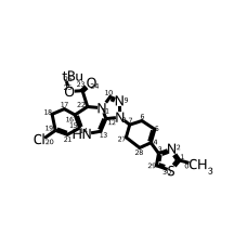 Cc1nc(C2=CCC(N3N=CN4C3=CNC3=C(CCC(Cl)=C3)C4C(=O)OC(C)(C)C)CC2)cs1